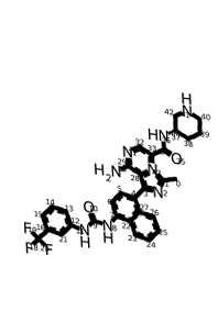 Cc1nc(-c2ccc(NC(=O)Nc3cccc(C(F)(F)F)c3)c3ccccc23)c2c(N)ncc(C(=O)N[C@@H]3CCCNC3)n12